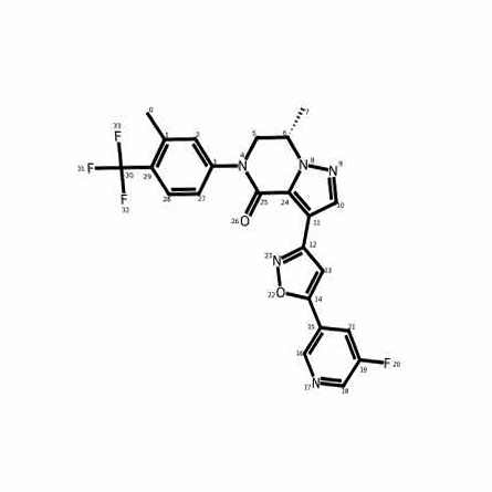 Cc1cc(N2C[C@H](C)n3ncc(-c4cc(-c5cncc(F)c5)on4)c3C2=O)ccc1C(F)(F)F